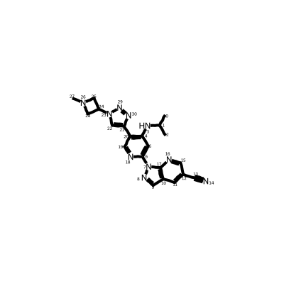 CC(C)Nc1cc(-n2ncc3cc(C#N)cnc32)ncc1-c1cn(C2CN(C)C2)nn1